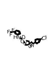 O=C(Nc1cccc(C(F)(F)F)c1)ON1CCC2(CC1)CC(c1ccc(Cl)cc1)=NO2